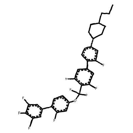 CCCC1CCC(c2ccc(-c3cc(F)c(C(F)(F)Oc4ccc(-c5cc(F)c(F)c(F)c5)c(F)c4)c(F)c3)c(F)c2)CC1